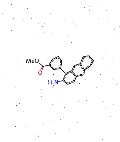 COC(=O)c1cccc(-c2c(N)ccc3cc4ccccc4cc23)c1